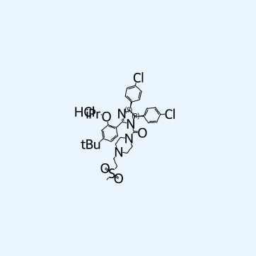 CC(C)Oc1cc(C(C)(C)C)ccc1C1=N[C@@H](c2ccc(Cl)cc2)[C@@H](c2ccc(Cl)cc2)N1C(=O)N1CCN(CCS(C)(=O)=O)CC1.Cl